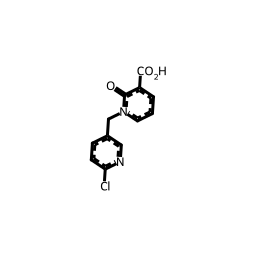 O=C(O)c1cccn(Cc2ccc(Cl)nc2)c1=O